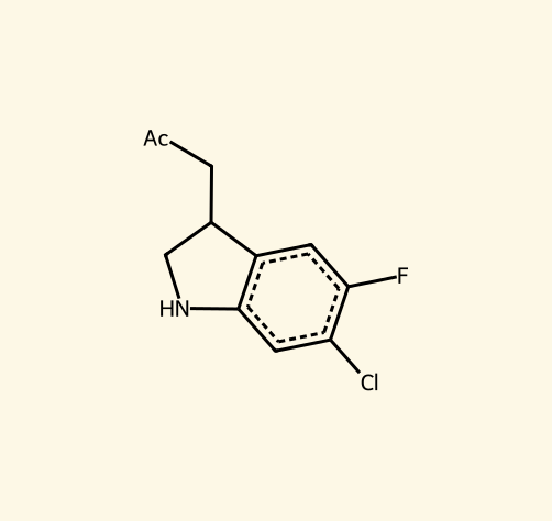 CC(=O)CC1CNc2cc(Cl)c(F)cc21